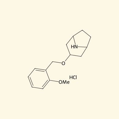 COc1ccccc1COC1CC2CCC(C1)N2.Cl